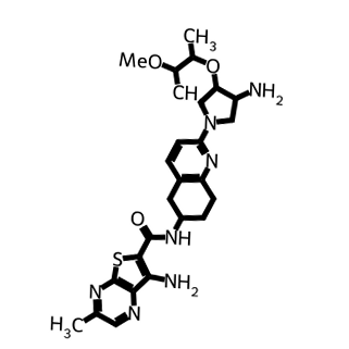 COC(C)C(C)OC1CN(c2ccc3c(n2)CCC(NC(=O)c2sc4nc(C)cnc4c2N)C3)CC1N